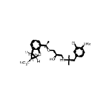 CSc1ccc(CC(C)(C)NCC(O)CO[C@H](C)c2cccc3c2O[C@@H]2[C@@H](C(=O)O)[C@H]32)cc1Cl